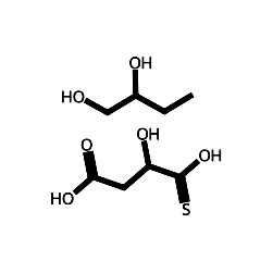 CCC(O)CO.O=C(O)CC(O)C(O)=S